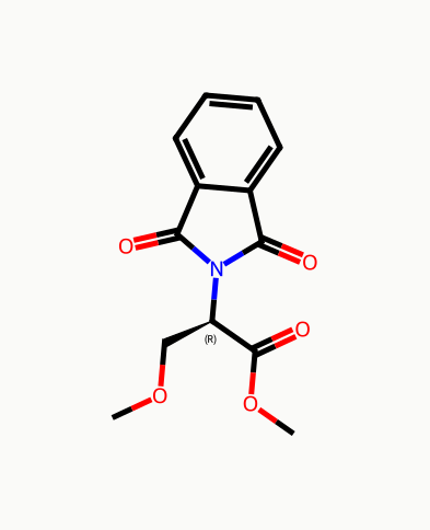 COC[C@H](C(=O)OC)N1C(=O)c2ccccc2C1=O